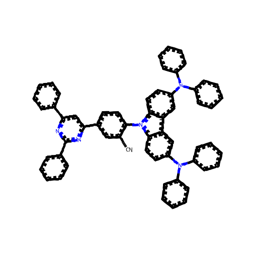 N#Cc1cc(-c2cc(-c3ccccc3)nc(-c3ccccc3)n2)ccc1-n1c2ccc(N(c3ccccc3)c3ccccc3)cc2c2cc(N(c3ccccc3)c3ccccc3)ccc21